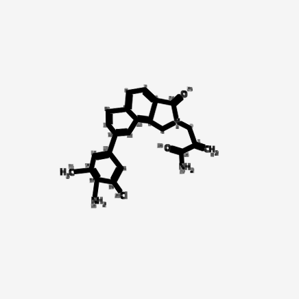 C=C(CN1Cc2c(ccc3ccc(-c4cc(C)c(N)c(Cl)c4)cc23)C1=O)C(N)=O